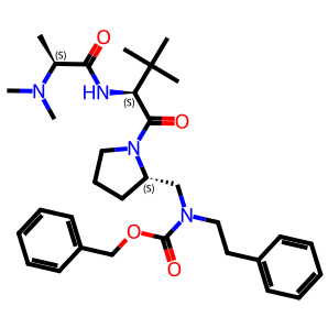 C[C@@H](C(=O)N[C@H](C(=O)N1CCC[C@H]1CN(CCc1ccccc1)C(=O)OCc1ccccc1)C(C)(C)C)N(C)C